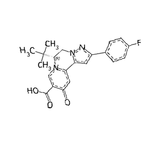 CC(C)(C)[C@@H]1Cn2nc(-c3ccc(F)cc3)cc2-c2cc(=O)c(C(=O)O)cn21